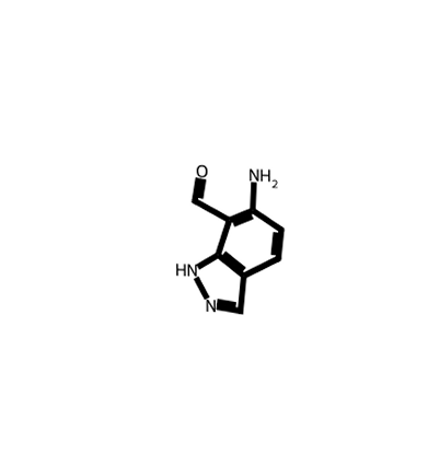 Nc1ccc2cn[nH]c2c1C=O